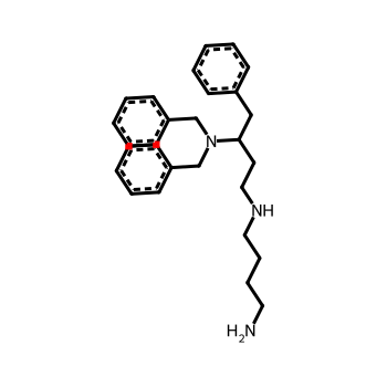 NCCCCNCCC(Cc1ccccc1)N(Cc1ccccc1)Cc1ccccc1